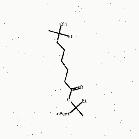 CCCCCC(C)(CC)OC(=O)CCCCCC(C)(O)CC